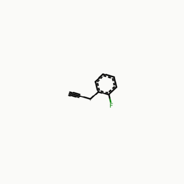 C#C[CH]c1ccccc1F